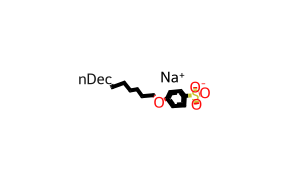 CCCCCCCCCCCCCCCCOc1ccc(S(=O)(=O)[O-])cc1.[Na+]